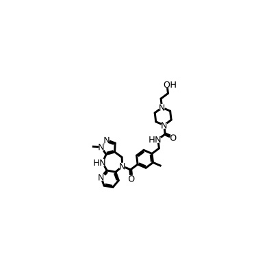 Cc1cc(C(=O)N2Cc3cnn(C)c3Nc3ncccc32)ccc1CNC(=O)N1CCN(CCO)CC1